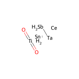 [Ce].[O]=[Ti]=[O].[SbH2][Ta].[SnH2]